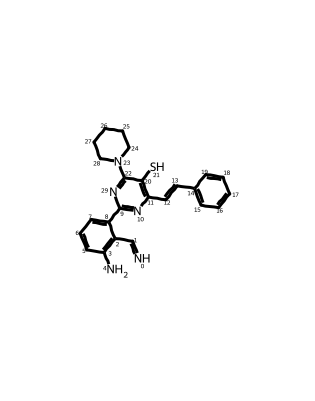 N=Cc1c(N)cccc1-c1nc(/C=C/c2ccccc2)c(S)c(N2CCCCC2)n1